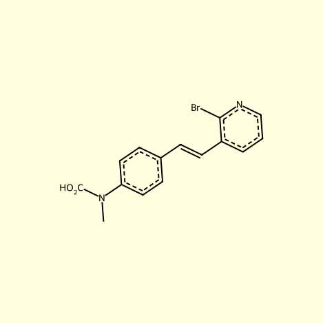 CN(C(=O)O)c1ccc(/C=C/c2cccnc2Br)cc1